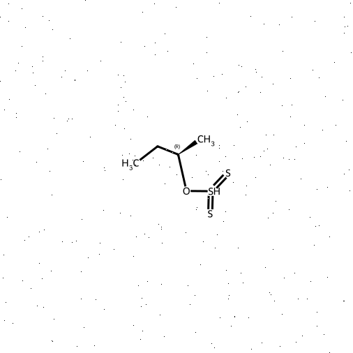 CC[C@@H](C)O[SH](=S)=S